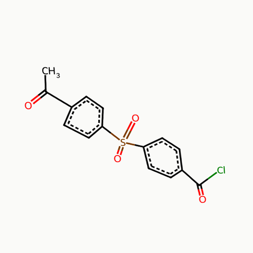 CC(=O)c1ccc(S(=O)(=O)c2ccc(C(=O)Cl)cc2)cc1